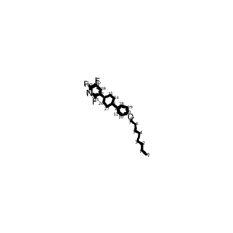 CCCCCCCCOc1ccc(C2CCC(c3cc(F)c(F)nc3F)CC2)cc1